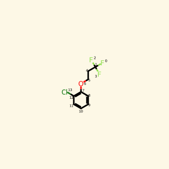 FC(F)(F)CCOc1[c]cccc1Cl